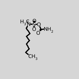 CCCCCCCCN(C)S(=O)(=O)OC(N)=O